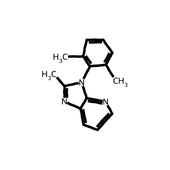 Cc1cccc(C)c1-n1c(C)nc2cccnc21